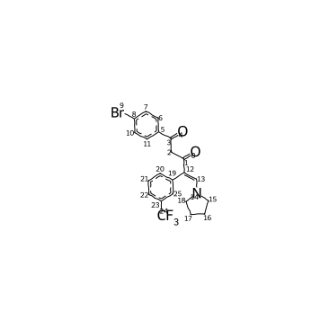 O=C(CC(=O)c1ccc(Br)cc1)C(=CN1CCCC1)c1cccc(C(F)(F)F)c1